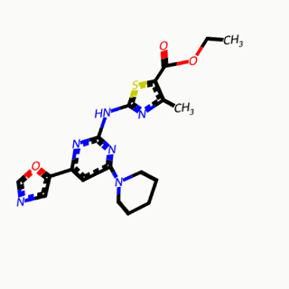 CCOC(=O)c1sc(Nc2nc(-c3cnco3)cc(N3CCCCC3)n2)nc1C